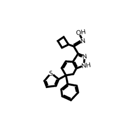 O/N=C(/c1n[nH]c2c1C=CC(c1ccccc1)(c1cccs1)C2)C1CCC1